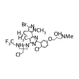 CNC[C@@H](O)COc1ccc(Cl)c(-c2nc(-c3c(C)c(Br)nn3C)c(C)c(N3CC(CCl)(CNCC(F)(F)F)C3)n2)c1